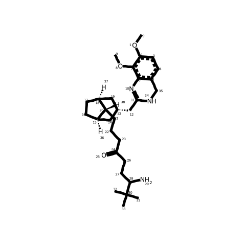 COc1ccc2c(c1OC)N=C(C[C@@H]1C[C@H]3CC[C@@H](C1)[C@@H]3CCCC(=O)CCC(N)C(C)(C)C)NC2